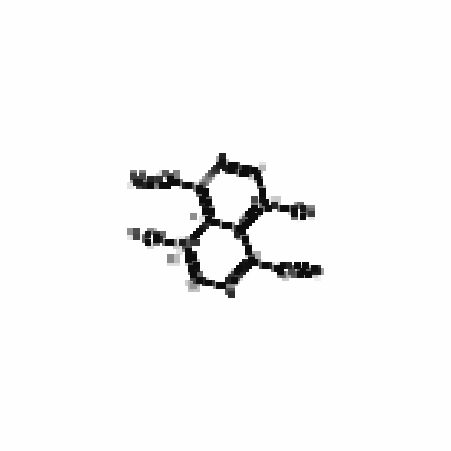 COc1cc[n+]([O-])c2c(OC)cc[n+]([O-])c12